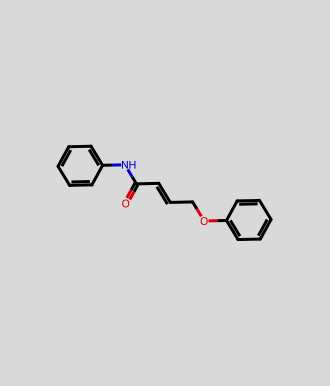 O=C(/C=C/COc1ccccc1)Nc1ccccc1